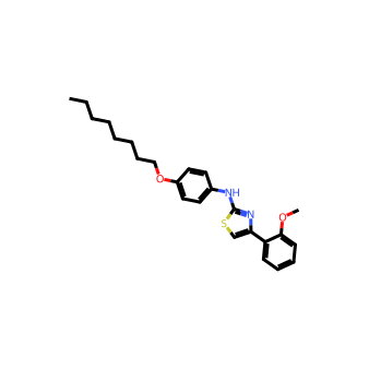 CCCCCCCCOc1ccc(Nc2nc(-c3ccccc3OC)cs2)cc1